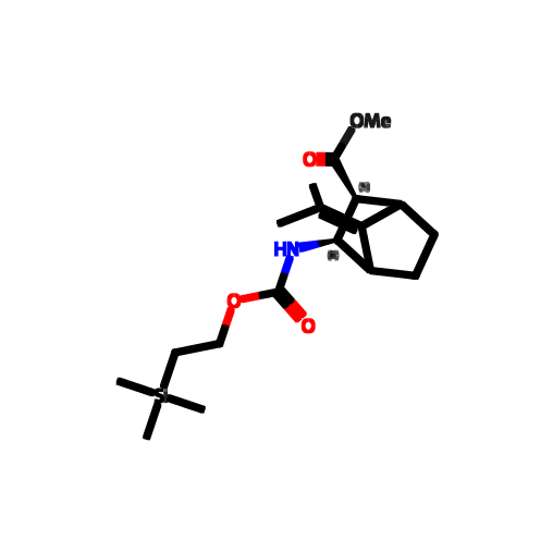 COC(=O)[C@H]1C2CCC(C2=C(C)C)[C@H]1NC(=O)OCC[Si](C)(C)C